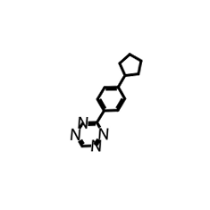 c1nnc(-c2ccc(C3CCCC3)cc2)nn1